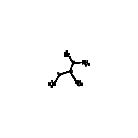 CC(C)C(N)C(C)CN